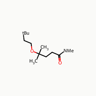 CNC(=O)CCC(C)(C)OCCC(C)(C)C